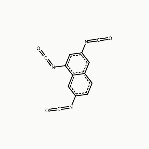 O=C=Nc1cc(N=C=O)c2cc(N=C=O)ccc2c1